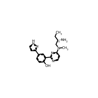 CC[C@H](N)CN(C)c1ccnc(-c2cc(-c3cc[nH]n3)ccc2O)n1